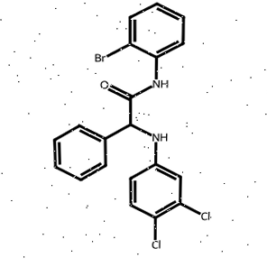 O=C(Nc1ccccc1Br)C(Nc1ccc(Cl)c(Cl)c1)c1ccccc1